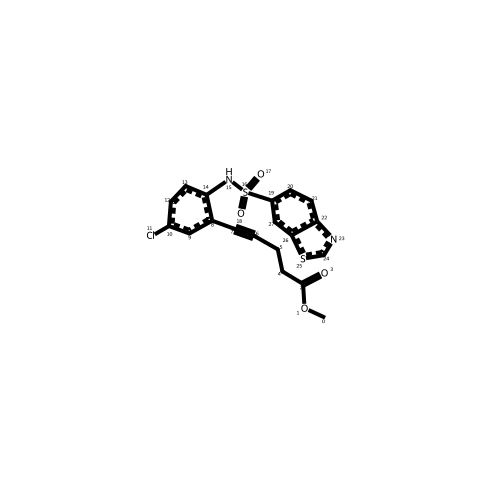 COC(=O)CCC#Cc1cc(Cl)ccc1NS(=O)(=O)c1ccc2ncsc2c1